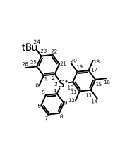 Cc1c([S+](c2ccccc2)c2c(C)c(C)c(C)c(C)c2C)ccc(C(C)(C)C)c1C